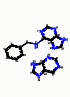 c1ccc(CNc2ncnc3[nH]cnc23)cc1.c1ncc2nc[nH]c2n1